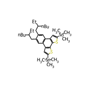 CCCCC(CC)Cc1cc2c(cc1CC(CC)CCCC)c1c[c]([Sn]([CH3])([CH3])[CH3])sc1c1s[c]([Sn]([CH3])([CH3])[CH3])cc21